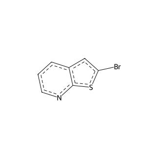 Brc1cc2cccnc2s1